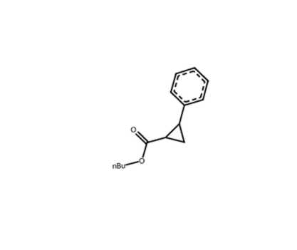 CCCCOC(=O)C1CC1c1ccccc1